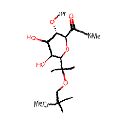 CNC(=O)C1OC(C(C)(C)OCC(C)(C)OC)C(O)C(O)[C@@H]1OC(C)C